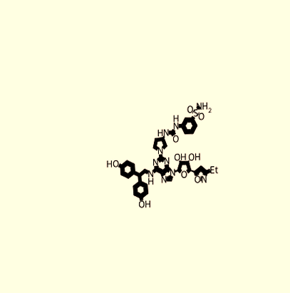 CCc1cc([C@H]2O[C@@H](n3cnc4c(NCC(c5ccc(O)cc5)c5ccc(O)cc5)nc(N5CC[C@@H](NC(=O)Nc6cccc(S(N)(=O)=O)c6)C5)nc43)[C@@H](O)[C@@H]2O)on1